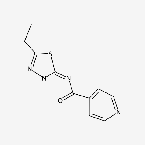 CCC1=N[N]C(=NC(=O)c2ccncc2)S1